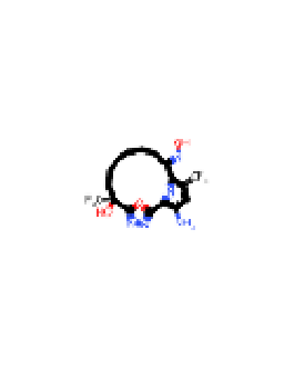 Nc1cc(C(F)(F)F)c2nc1-c1nnc(o1)[C@@](O)(C(F)(F)F)CCCCCC/C2=N\O